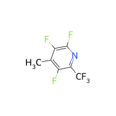 Cc1c(F)c(F)nc(C(F)(F)F)c1F